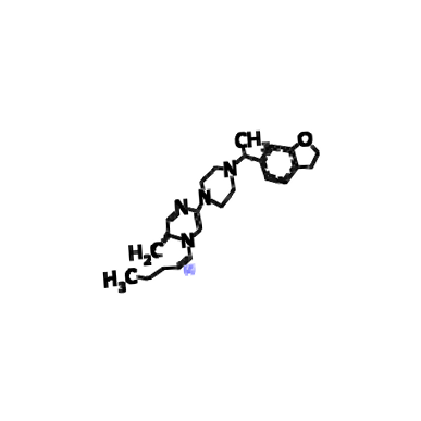 C=C1C=NC(N2CCN(C(C)c3ccc4c(c3)OCC4)CC2)=CN1/C=C\CCC